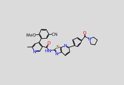 COc1ccc(C#N)cc1-c1cc(C)ncc1C(=O)Nc1nc2ccc(-c3ccc(C(=O)N4CCCC4)cc3)nc2s1